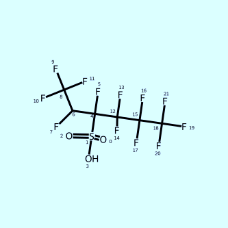 O=S(=O)(O)C(F)(C(F)C(F)(F)F)C(F)(F)C(F)(F)C(F)(F)F